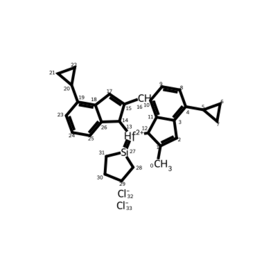 CC1=Cc2c(C3CC3)cccc2[CH]1[Hf+2]([CH]1C(C)=Cc2c(C3CC3)cccc21)=[Si]1CCCC1.[Cl-].[Cl-]